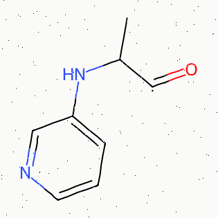 CC([C]=O)Nc1cccnc1